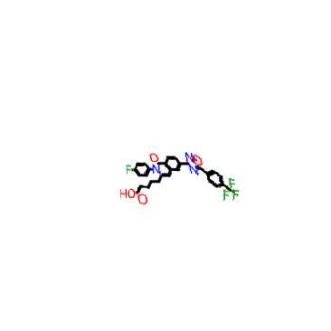 O=C(O)CCCCc1cc2cc(-c3noc(-c4ccc(C(F)(F)F)cc4)n3)ccc2c(=O)n1-c1ccc(F)cc1